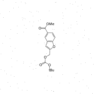 COC(=O)c1ccc2oc(COC(=O)OC(C)(C)C)cc2c1